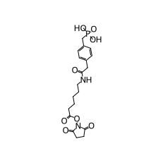 O=C(Cc1ccc(CP(=O)(O)O)cc1)NCCCCCC(=O)ON1C(=O)CCC1=O